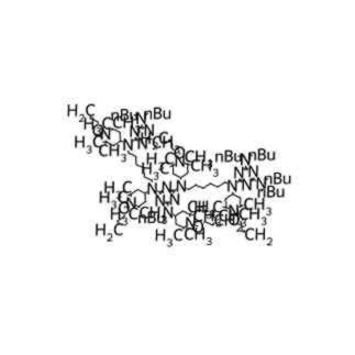 C=CCON1C(C)(C)CC(N(CCCCCCN(c2nc(N(CCCC)C3CC(C)(C)N(OCC=C)C(C)(C)C3)nc(N(CCCCCCN(c3nc(N(CCCC)CCCC)nc(N(CCCC)CCCC)n3)C3CC(C)(C)N(OCC=C)C(C)(C)C3)C3CC(C)(C)N(OCC=C)C(C)(C)C3)n2)C2CC(C)(C)N(OCC=C)C(C)(C)C2)c2nc(C)nc(N(CCCC)CCCC)n2)CC1(C)C